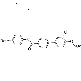 CCCCCCCCCCc1ccc(OC(=O)c2ccc(-c3ccc(OCCCCCCCC)c(Cl)c3)cc2)cc1